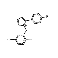 Cc1ccc(I)cc1C[SH]1C=CC=C1c1ccc(F)cc1